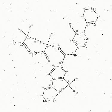 O=C(Nc1ccc(C2=CCNCC2)c(F)c1)c1ccc(C2=CCNCC2)c(C(F)(F)F)c1.O=C(O)C(F)(F)F.O=C(O)C(F)(F)F